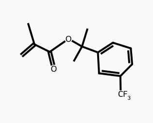 C=C(C)C(=O)OC(C)(C)c1cccc(C(F)(F)F)c1